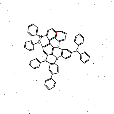 c1ccc(B2c3cc4c5c(c3-c3ccccc3N2c2ccccc2)N(c2ccccc2)c2cc(N(c3ccccc3)c3ccccc3)ccc2B5c2ccc(-c3ccccc3)cc2N4c2ccccc2)cc1